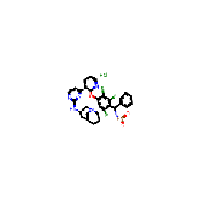 Cl.O=[SH](=O)NC(c1ccccc1)c1c(F)cc(Oc2ncccc2-c2ccnc(NC3CC4CCCN(C4)C3)n2)c(F)c1F